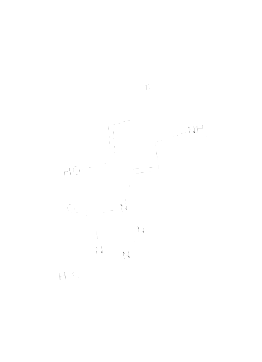 Cn1nnn(-c2cc(N)c(F)cc2O)c1=O